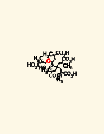 CC(=COC(C=C(C)C(=O)O)=C(C(=O)O)C(C=C(C)C(=O)O)(C=C(C)C(=O)O)C=C(C)C(=O)O)C(=O)O